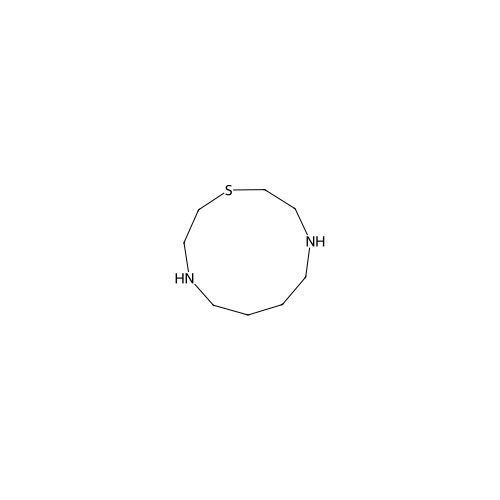 C1CCNCCSCCNC1